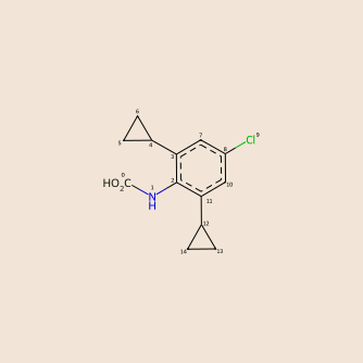 O=C(O)Nc1c(C2CC2)cc(Cl)cc1C1CC1